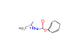 CC(NC(=O)Oc1ccccc1)C(=O)O